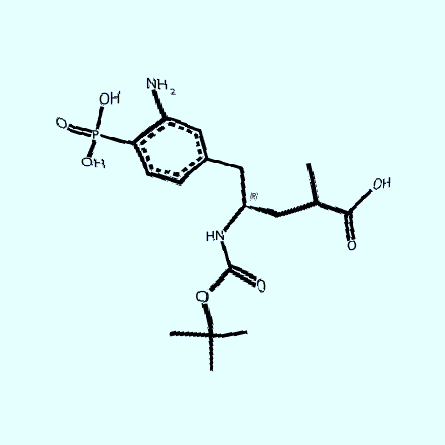 CC(C[C@H](Cc1ccc(P(=O)(O)O)c(N)c1)NC(=O)OC(C)(C)C)C(=O)O